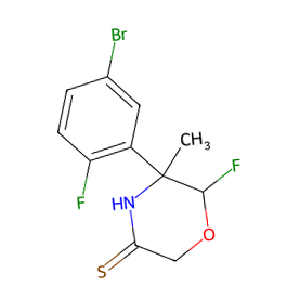 CC1(c2cc(Br)ccc2F)NC(=S)COC1F